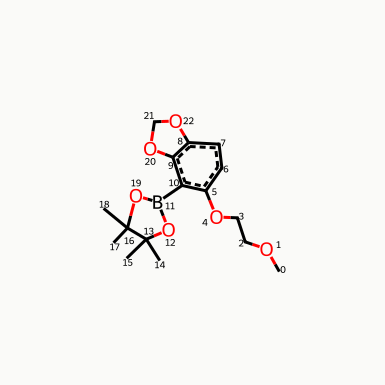 COCCOc1ccc2c(c1B1OC(C)(C)C(C)(C)O1)OCO2